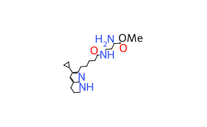 COC(=O)C(N)CCNC(=O)CCCCc1nc2c(cc1C1CC1)CCCN2